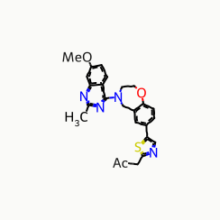 COc1ccc2c(N3CCOc4ccc(-c5cnc(CC(C)=O)s5)cc4C3)nc(C)nc2c1